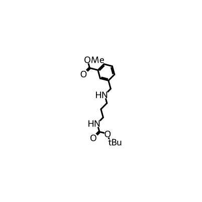 COC(=O)c1cccc(CNCCCNC(=O)OC(C)(C)C)c1